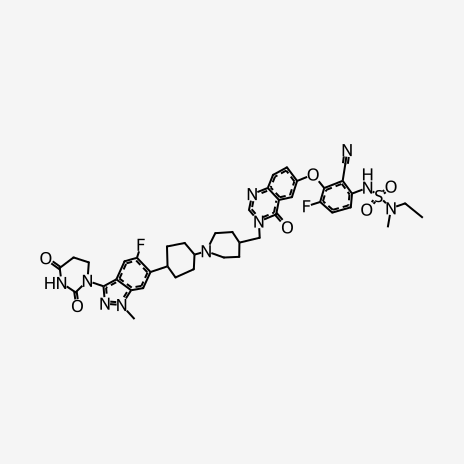 CCN(C)S(=O)(=O)Nc1ccc(F)c(Oc2ccc3ncn(CC4CCN(C5CCC(c6cc7c(cc6F)c(N6CCC(=O)NC6=O)nn7C)CC5)CC4)c(=O)c3c2)c1C#N